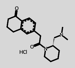 CN(C)C[C@@H]1CCCCN1C(=O)Cc1ccc2c(c1)CCCC2=O.Cl